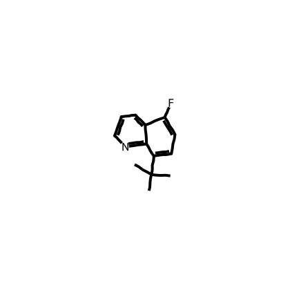 CC(C)(C)c1ccc(F)c2cccnc12